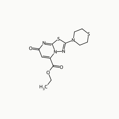 CCOC(=O)c1cc(=O)nc2sc(N3CCSCC3)nn12